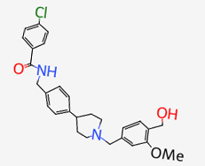 COc1cc(CN2CCC(c3ccc(CNC(=O)c4ccc(Cl)cc4)cc3)CC2)ccc1CO